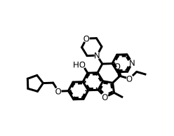 CCOC(=O)c1c(C)oc2c1c(C(c1ccncc1)N1CCOCC1)c(O)c1cc(OCC3CCCC3)ccc12